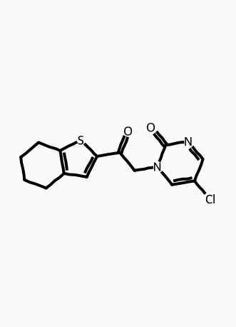 O=C(Cn1cc(Cl)cnc1=O)c1cc2c(s1)CCCC2